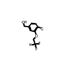 OCc1ccc(Cl)c(OCC(F)(F)F)c1